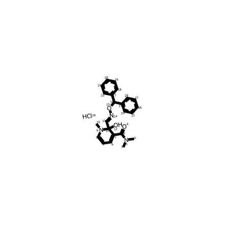 CN(C)C(=O)C1=CC=CN(C)C1(O)C=NOC(c1ccccc1)c1ccccc1.Cl